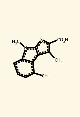 Cc1cccc2c1c1c(C)c(C(=O)O)sc1n2C